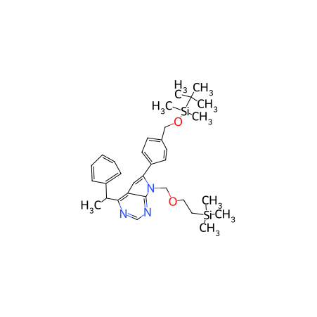 CC(c1ccccc1)c1ncnc2c1cc(-c1ccc(CO[Si](C)(C)C(C)(C)C)cc1)n2COCC[Si](C)(C)C